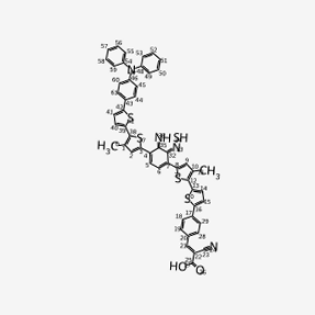 Cc1cc(C2=CC=C(c3cc(C)c(-c4ccc(-c5ccc(/C=C(\C#N)C(=O)O)cc5)s4)s3)/C(=N/S)C2=N)sc1-c1ccc(-c2ccc(N(c3ccccc3)c3ccccc3)cc2)s1